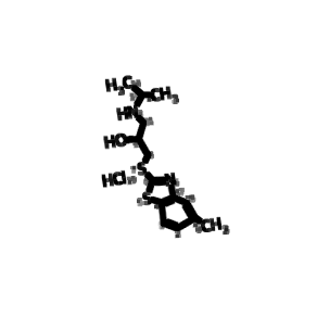 Cc1ccc2sc(SCC(O)CNC(C)C)nc2c1.Cl